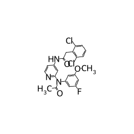 COc1cc(F)cc(N(C(C)=O)c2cc(NC(=O)Cc3c(Cl)cccc3Cl)ccn2)c1